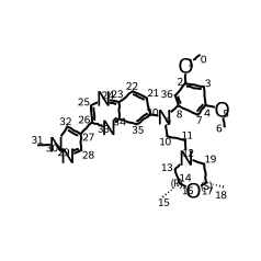 COc1cc(OC)cc(N(CCN2C[C@@H](C)O[C@@H](C)C2)c2ccc3ncc(-c4cnn(C)c4)nc3c2)c1